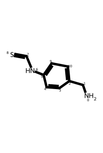 NCc1ccc(N[C]=S)cc1